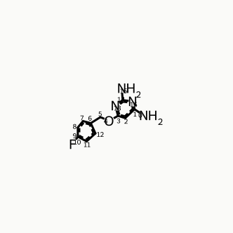 Nc1cc(OCc2ccc(F)cc2)nc(N)n1